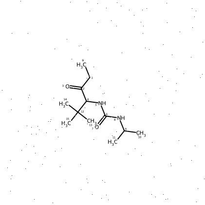 CCC(=O)C(NC(=O)NC(C)C)C(C)(C)C